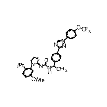 COc1ccc(C(C)C)c(N2CCS/C2=N\C(=O)NC(C)c2ccc(-c3ncn(-c4ccc(OC(F)(F)F)cc4)n3)cc2)c1